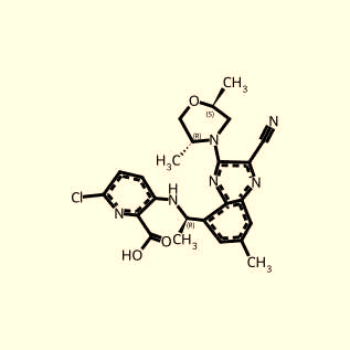 Cc1cc([C@@H](C)Nc2ccc(Cl)nc2C(=O)O)c2nc(N3C[C@H](C)OC[C@H]3C)c(C#N)nc2c1